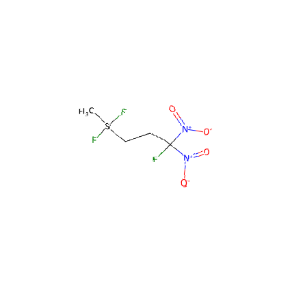 C[Si](F)(F)CCC(F)([N+](=O)[O-])[N+](=O)[O-]